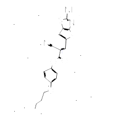 CCCCOc1ccc(OC(=O)/C(C#N)=C/c2cc3sc(N)nc3s2)cc1